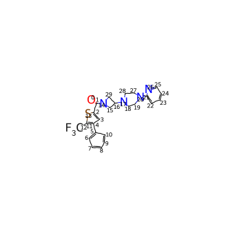 O=C(c1cc(-c2ccccc2)c(C(F)(F)F)s1)N1CC(N2CCN(c3ccccn3)CC2)C1